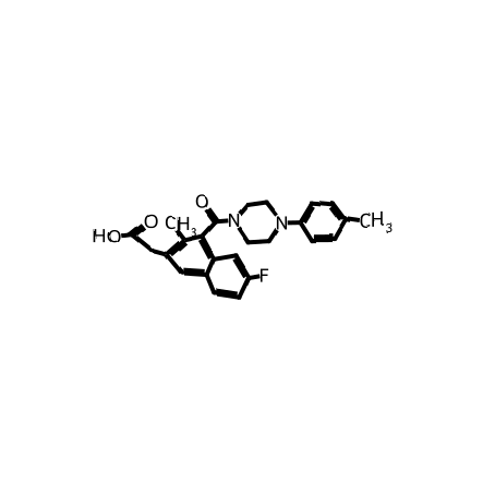 Cc1ccc(N2CCN(C(=O)c3c(C)c(CC(=O)O)cc4ccc(F)cc34)CC2)cc1